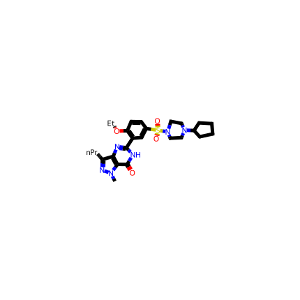 CCCc1nn(C)c2c(=O)[nH]c(-c3cc(S(=O)(=O)N4CCN(C5CCCC5)CC4)ccc3OCC)nc12